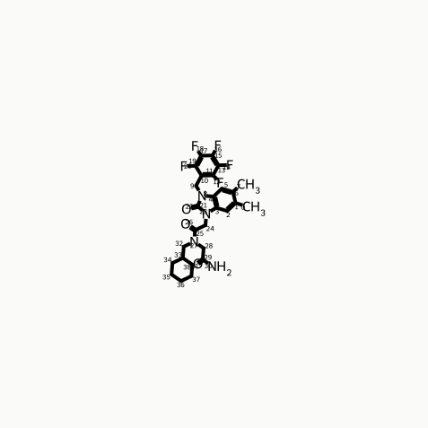 Cc1cc2c(cc1C)n(Cc1c(F)c(F)c(F)c(F)c1F)c(=O)n2CC(=O)N(CC(N)=O)CC1CCCCC1